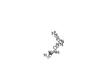 Cn1cc(NC2CCC3(C2)CN(c2ncnc4sc(CC(F)(F)F)cc24)C3)cn1